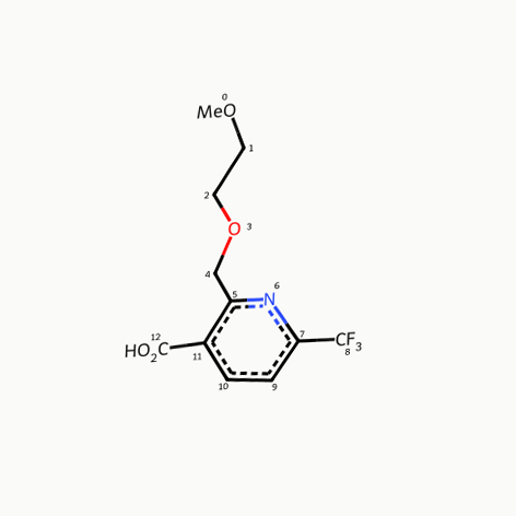 COCCOCc1nc(C(F)(F)F)ccc1C(=O)O